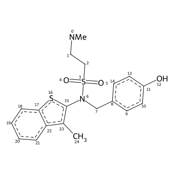 CNCCS(=O)(=O)N(Cc1ccc(O)cc1)c1sc2ccccc2c1C